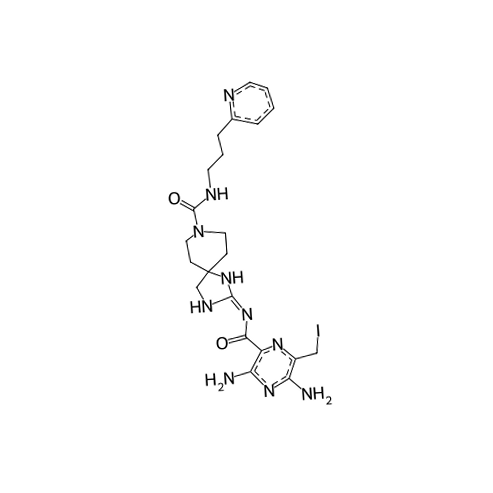 Nc1nc(N)c(C(=O)/N=C2\NCC3(CCN(C(=O)NCCCc4ccccn4)CC3)N2)nc1CI